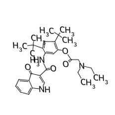 CCN(CC)CC(=O)Oc1cc(NC(=O)c2c[nH]c3ccccc3c2=O)c(C(C)(C)C)cc1C(C)(C)C